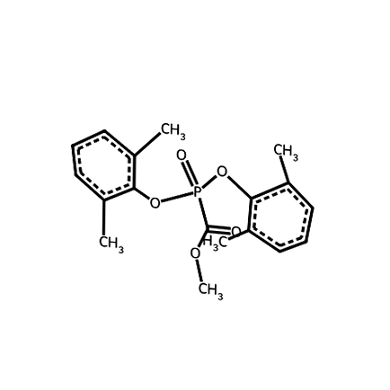 COC(=O)P(=O)(Oc1c(C)cccc1C)Oc1c(C)cccc1C